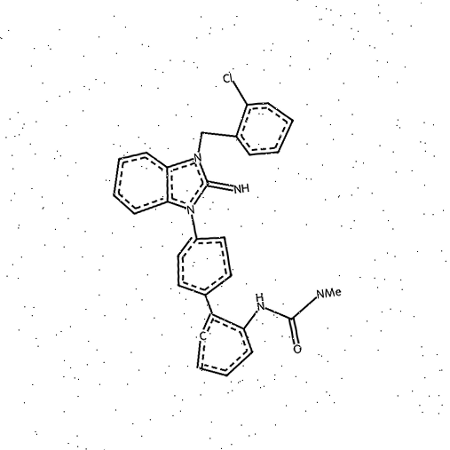 CNC(=O)Nc1ccccc1-c1ccc(-n2c(=N)n(Cc3ccccc3Cl)c3ccccc32)cc1